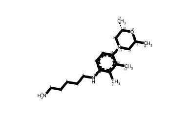 Cc1c(NCCCCCN)ccc(N2CC(C)O[C@@H](C)C2)c1C